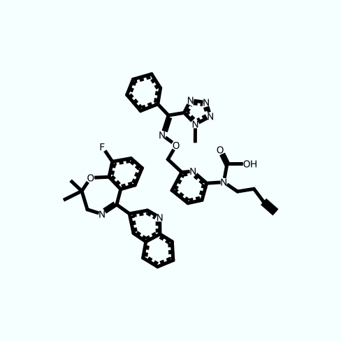 C#CCCN(C(=O)O)c1cccc(CO/N=C(/c2ccccc2)c2nnnn2C)n1.CC1(C)CN=C(c2cnc3ccccc3c2)c2cccc(F)c2O1